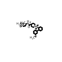 COc1cccc(-c2ccccc2S(=O)(=O)N2CCC(F)(C(=O)N[C@@H](C)/C=C\S(C)(=O)=O)CC2)c1